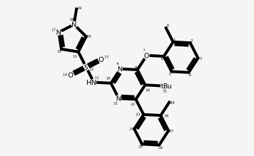 Cc1ccccc1Oc1nc(NS(=O)(=O)c2cnn(C)c2)nc(-c2ccccc2C)c1C(C)(C)C